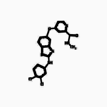 CNC(=O)c1cc(Oc2ccc3sc(Nc4ccc(Cl)c(Cl)c4)nc3c2)ccn1